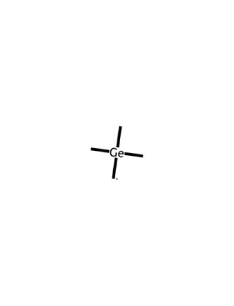 [CH2][Ge]([CH3])([CH3])[CH3]